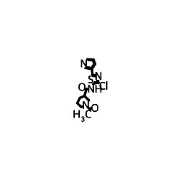 CC(=O)N1CCCC(C(=O)Nc2sc(-c3cccnc3)nc2Cl)C1